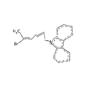 C/C(Br)=C\C=C/Cn1c2ccccc2c2ccccc21